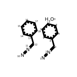 O.[N-]=[N+]=Cc1ccccc1.[N-]=[N+]=Cc1ccccc1